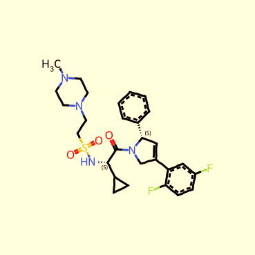 CN1CCN(CCS(=O)(=O)N[C@H](C(=O)N2CC(c3cc(F)ccc3F)=C[C@H]2c2ccccc2)C2CC2)CC1